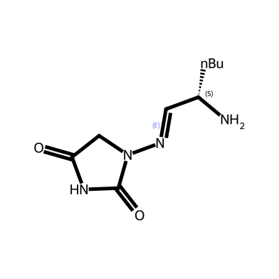 CCCC[C@H](N)/C=N/N1CC(=O)NC1=O